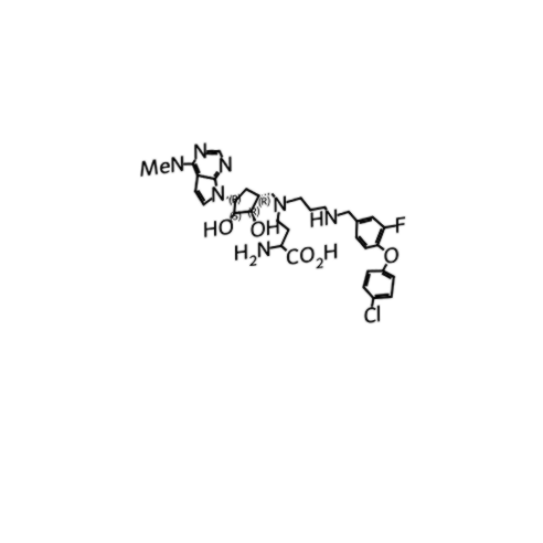 CNc1ncnc2c1ccn2[C@@H]1C[C@H](CN(CCCNCc2ccc(Oc3ccc(Cl)cc3)c(F)c2)CCC(N)C(=O)O)[C@@H](O)[C@H]1O